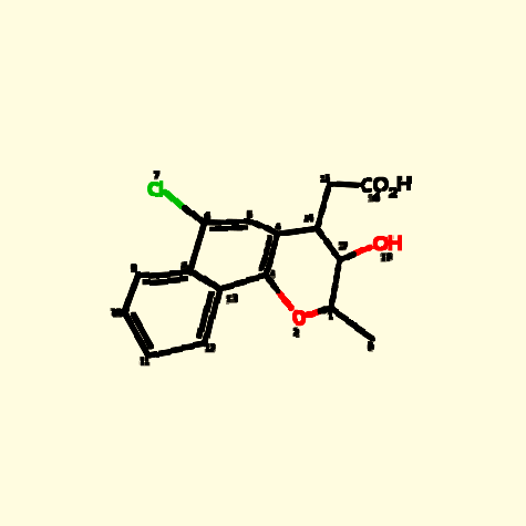 CC1Oc2c(cc(Cl)c3ccccc23)C(CC(=O)O)C1O